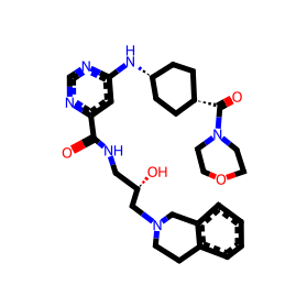 O=C(NC[C@H](O)CN1CCc2ccccc2C1)c1cc(N[C@H]2CC[C@@H](C(=O)N3CCOCC3)CC2)ncn1